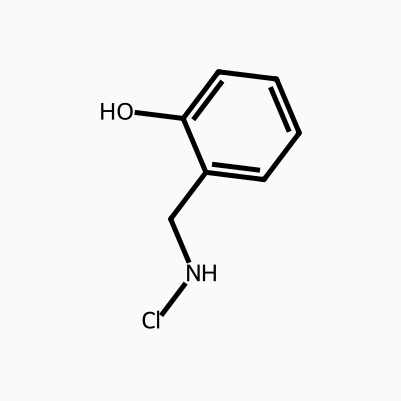 Oc1ccccc1CNCl